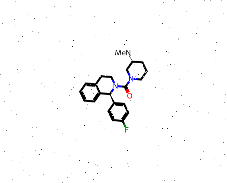 CN[C@@H]1CCCN(C(=O)N2CCc3ccccc3[C@@H]2c2ccc(F)cc2)C1